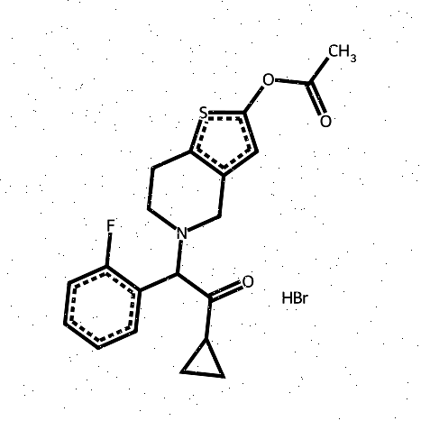 Br.CC(=O)Oc1cc2c(s1)CCN(C(C(=O)C1CC1)c1ccccc1F)C2